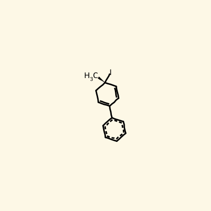 C[C@@]1(I)C=CC(c2ccccc2)=CC1